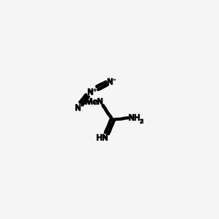 C[NH2+]C(=N)N.[N-]=[N+]=[N-]